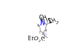 CCOC(=O)/C=C1\CCN(C)C(C)C1